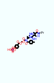 CCCNC(=O)c1cn2ncnc(Nc3cc(C(=O)N(C(=O)OCOC(=O)c4ccc(OP(=O)(O)O)cc4)C4CC4)ccc3C)c2c1C